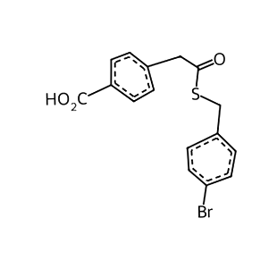 O=C(Cc1ccc(C(=O)O)cc1)SCc1ccc(Br)cc1